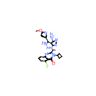 COc1ccc(C(=N)c2c(N)ncnc2NC(C)c2nc3cccc(F)c3c(=O)n2C2CCC2)cn1